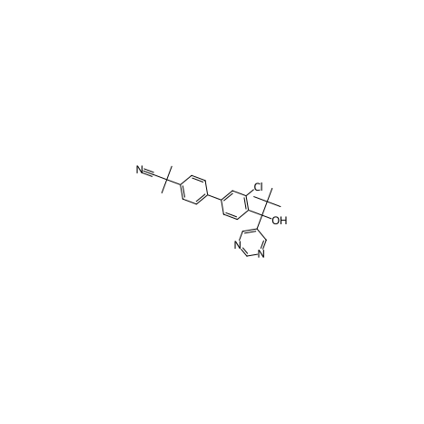 CC(C)(C#N)c1ccc(-c2ccc(C(O)(c3cncnc3)C(C)(C)C)c(Cl)c2)cc1